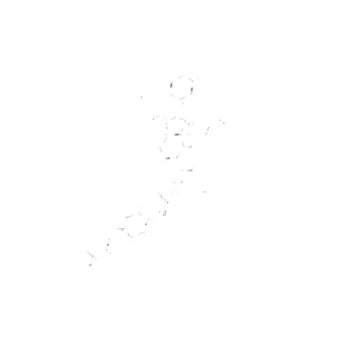 CN(C)C(=O)Cn1c(-c2ccc(Cl)cc2)c(C2CCCCC2)c2ccc(C(=O)NC3(C(=O)Nc4ccc(C=CC(=O)O)cc4)CCCC3)cc21